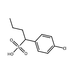 CCCC(c1ccc(Cl)cc1)S(=O)(=O)O